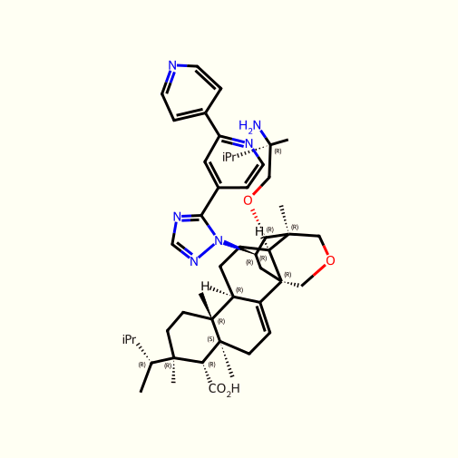 CC(C)[C@@H](C)[C@@]1(C)CC[C@]2(C)[C@H]3CC[C@@H]4[C@@]5(COC[C@]4(C)[C@@H](OC[C@](C)(N)C(C)C)[C@H](n4ncnc4-c4ccnc(-c6ccncc6)c4)C5)C3=CC[C@@]2(C)[C@@H]1C(=O)O